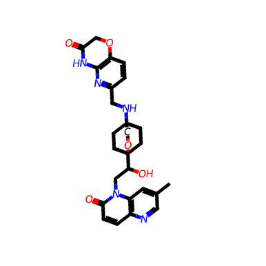 Cc1cnc2ccc(=O)n(CC(O)C34CCC(NCc5ccc6c(n5)NC(=O)CO6)(CC3)CO4)c2c1